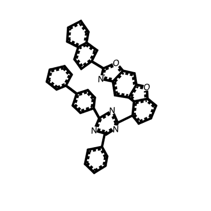 c1ccc(-c2ccc(-c3nc(-c4ccccc4)nc(-c4cccc5oc6cc7oc(-c8ccc9ccccc9c8)nc7cc6c45)n3)cc2)cc1